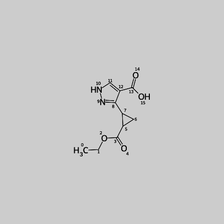 CCOC(=O)C1CC1c1n[nH]cc1C(=O)O